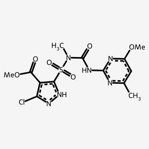 COC(=O)c1c(Cl)n[nH]c1S(=O)(=O)N(C)C(=O)Nc1nc(C)cc(OC)n1